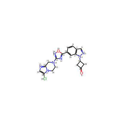 O=C1CC(n2ncc3ccc(-c4nc(N5CCn6c(Cl)cnc6C5)no4)cc32)C1